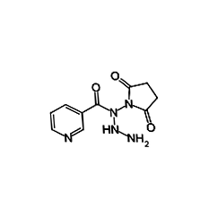 NNN(C(=O)c1cccnc1)N1C(=O)CCC1=O